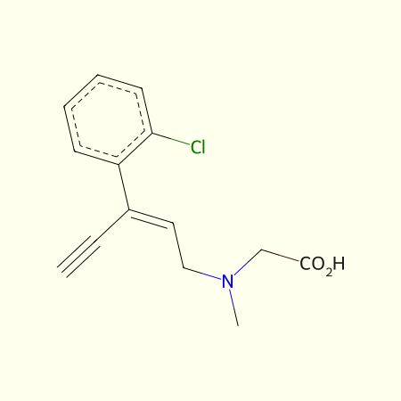 C#CC(=CCN(C)CC(=O)O)c1ccccc1Cl